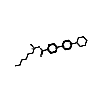 CCCCCC[C@@H](C)OC(=O)c1ccc(-c2ccc(C3CC[CH]CC3)cc2)cc1